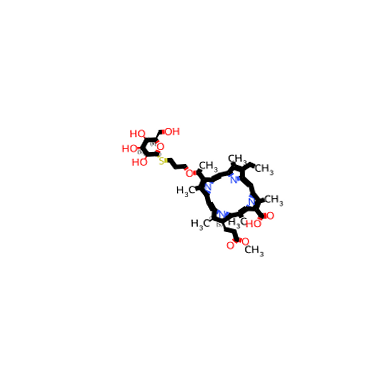 CCC1=C(C)C2=NC1=CC1=NC(=C(C)C3=NC(=CC4=NC(=C2)C(C(C)OCCCS[C@@H]2O[C@H](CO)[C@@H](O)[C@H](O)[C@H]2O)=C4C)[C@@H](C)[C@@H]3CCC(=O)OC)C(C(=O)O)=C1C